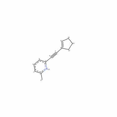 Cc1cccc(C#CC2=CCCC2)n1